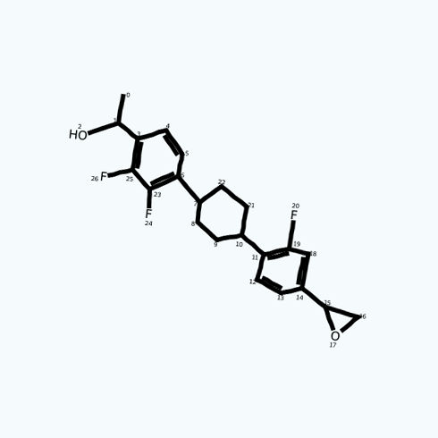 CC(O)c1ccc(C2CCC(c3ccc(C4CO4)cc3F)CC2)c(F)c1F